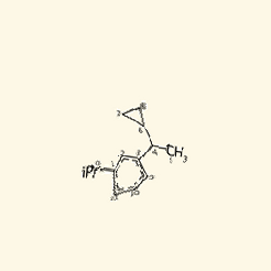 CC(C)c1[c]c(C(C)C2CC2)ccc1